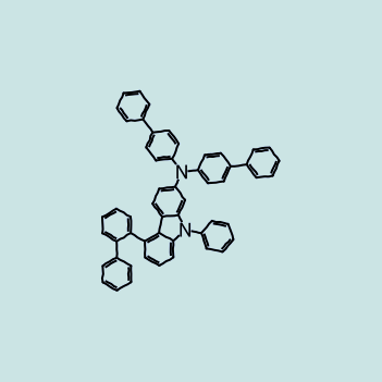 c1ccc(-c2ccc(N(c3ccc(-c4ccccc4)cc3)c3ccc4c5c(-c6ccccc6-c6ccccc6)cccc5n(-c5ccccc5)c4c3)cc2)cc1